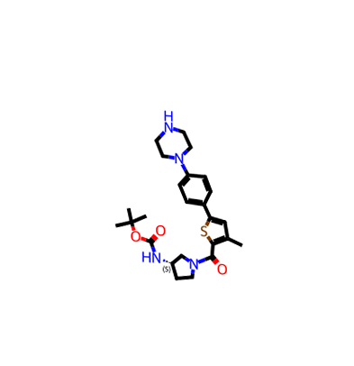 Cc1cc(-c2ccc(N3CCNCC3)cc2)sc1C(=O)N1CC[C@H](NC(=O)OC(C)(C)C)C1